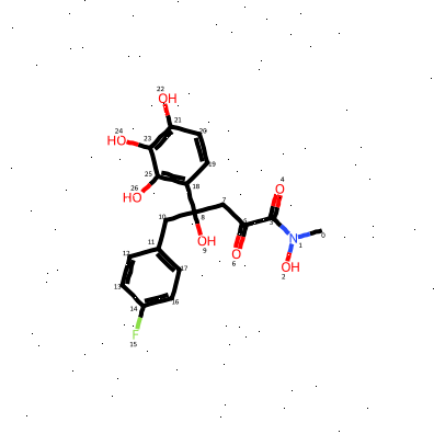 CN(O)C(=O)C(=O)CC(O)(Cc1ccc(F)cc1)c1ccc(O)c(O)c1O